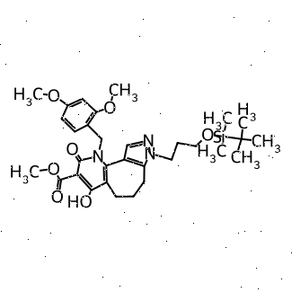 COC(=O)c1c(O)c2c(n(Cc3ccc(OC)cc3OC)c1=O)-c1cnn(CCCO[Si](C)(C)C(C)(C)C)c1CCC2